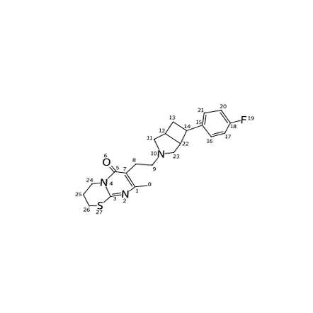 Cc1nc2n(c(=O)c1CCN1CC3CC(c4ccc(F)cc4)C3C1)CCCS2